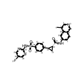 Cc1cncc2ccc(NC(=O)[C@@H]3CC3c3ccc(S(=O)(=O)Nc4ncc(F)cn4)cc3)cc12